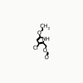 CCOc1cc(Cl)c(COC=O)[nH]1